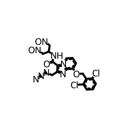 [N-]=[N+]=NCc1nc2c(OCc3c(Cl)cccc3Cl)cccn2c1C(=O)NC(CN=O)CN=O